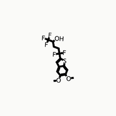 COc1cc2cc(C(F)(F)CCC(O)C(F)(F)F)sc2cc1OC